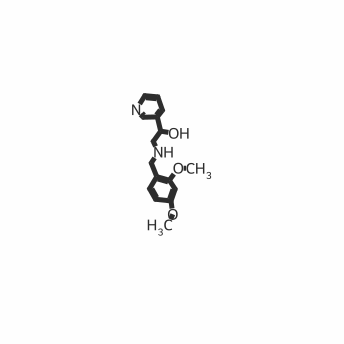 COc1ccc(CNCC(O)c2cccnc2)c(OC)c1